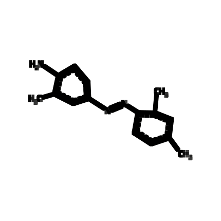 Cc1ccc(N=Nc2ccc(N)c(C)c2)c(C)c1